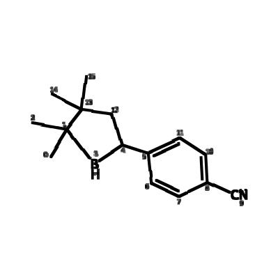 CC1(C)BC(c2ccc(C#N)cc2)CC1(C)C